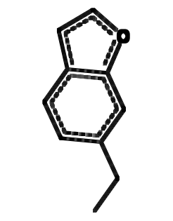 CCc1ccc2ccoc2c1